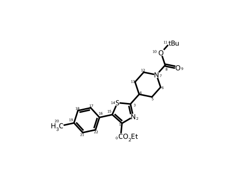 CCOC(=O)c1nc(C2CCN(C(=O)OC(C)(C)C)CC2)sc1-c1ccc(C)cc1